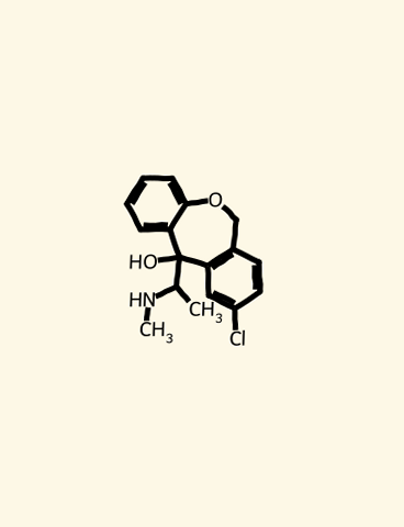 CNC(C)C1(O)c2cc(Cl)ccc2COc2ccccc21